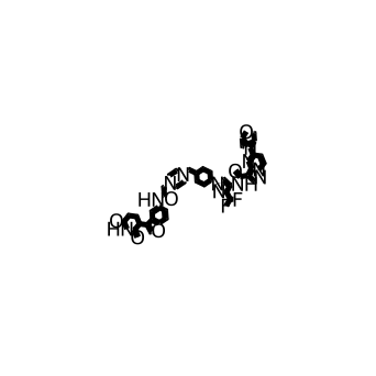 O=C1CCC(c2coc3ccc(NC(=O)CN4CCN(CC5CCC(n6cc(NC(=O)c7cnn8ccc(N9CC%10CC9CO%10)nc78)c(C(F)F)n6)CC5)CC4)cc23)C(=O)N1